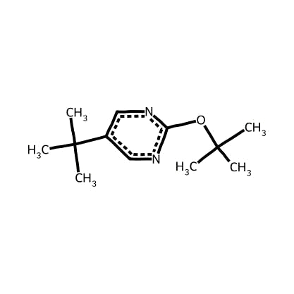 CC(C)(C)Oc1ncc(C(C)(C)C)cn1